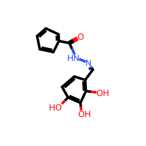 O=C(N/N=C\c1ccc(O)c(O)c1O)c1ccccc1